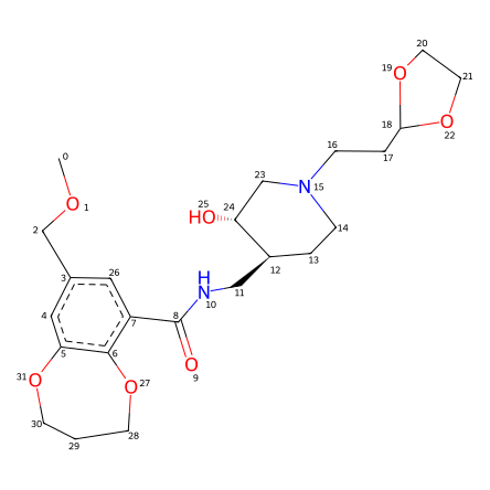 COCc1cc2c(c(C(=O)NC[C@@H]3CCN(CCC4OCCO4)C[C@H]3O)c1)OCCCO2